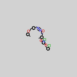 Cc1cccc(OCCc2ccc(CN3CCN(C(=O)/C=C/c4cc(C)c(Oc5ccc(OCc6ccccc6Cl)cn5)c(Cl)c4)CC3)cc2)c1